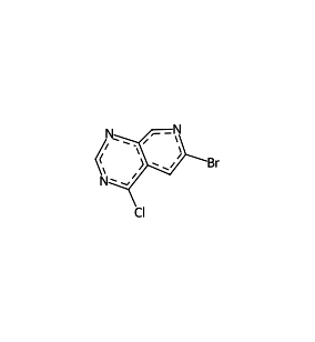 Clc1ncnc2cnc(Br)cc12